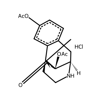 CC(=O)Oc1ccc2c(c1)[C@]13CCN[C@H](C2)[C@]1(OC(C)=O)CCC(=O)C3.Cl